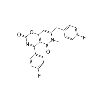 Cn1c(Cc2ccc(F)cc2)cc2oc(=O)nc(-c3ccc(F)cc3)c2c1=O